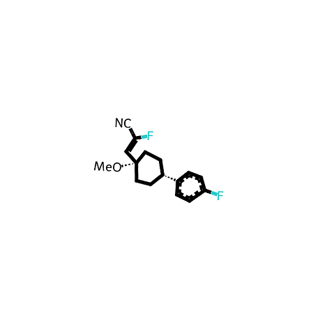 CO[C@]1(C=C(F)C#N)CC[C@H](c2ccc(F)cc2)CC1